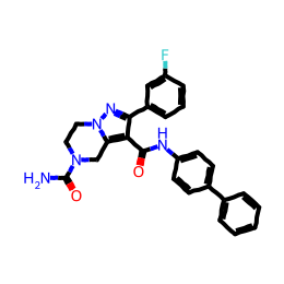 NC(=O)N1CCn2nc(-c3cccc(F)c3)c(C(=O)Nc3ccc(-c4ccccc4)cc3)c2C1